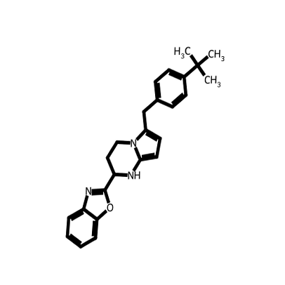 CC(C)(C)c1ccc(Cc2ccc3n2CCC(c2nc4ccccc4o2)N3)cc1